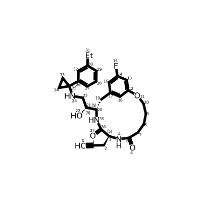 C#CC[C@@H]1NC(=O)CCCCOc2cc(F)cc(c2)C[C@@H]([C@H](O)CNC2(c3cccc(CC)c3)CC2)NC1=O